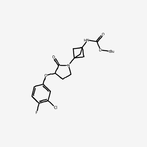 CC(C)(C)OC(=O)NC12CC(N3CCC(Oc4ccc(F)c(Cl)c4)C3=O)(C1)C2